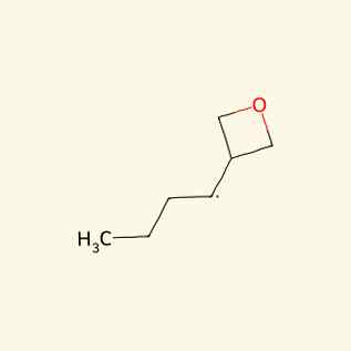 CCC[CH]C1COC1